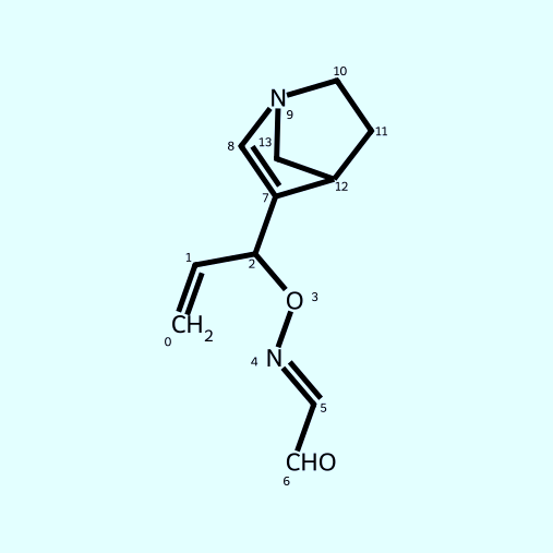 C=CC(ON=CC=O)C1=CN2CCC1C2